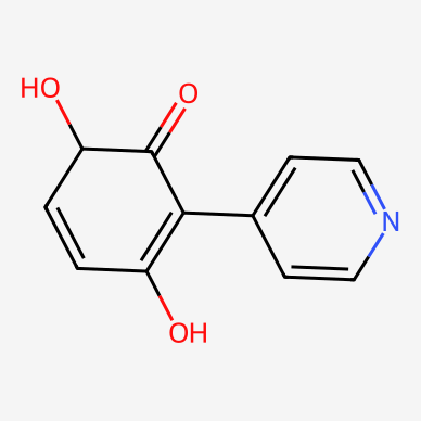 O=C1C(c2ccncc2)=C(O)C=CC1O